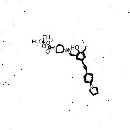 CC(C)(C)OC(=O)N1CCN(N=Cc2cc(C#Cc3ccc(N4CCCC4)cc3)cc(F)c2O)CC1